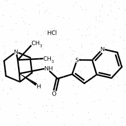 CC1(C)[C@H](NC(=O)c2cc3cccnc3s2)C2CCN1CC2.Cl